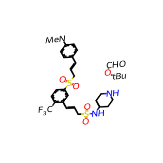 CC(C)(C)OC=O.CNc1ccc(C=CCS(=O)(=O)c2ccc(C(F)(F)F)c(C=CCS(=O)(=O)NC3CCNCC3)c2)cc1